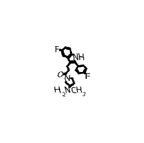 CC1(N)CCN(C(=O)CCc2c(-c3ccc(F)cc3)[nH]c3ccc(F)cc23)C1